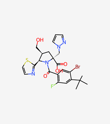 CC(C)(C)c1cc(F)c(C(=O)N2[C@@H](c3nccs3)[C@@H](CO)C[C@@]2(Cn2cccn2)C(=O)O)cc1Br